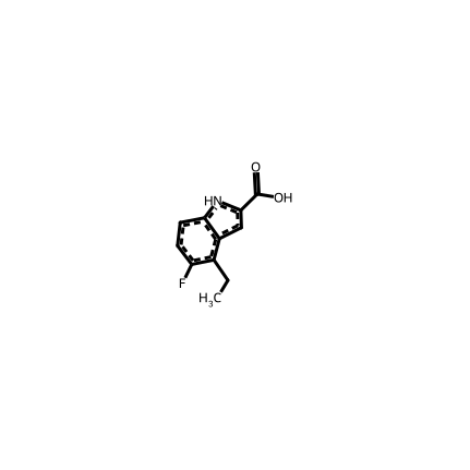 CCc1c(F)ccc2[nH]c(C(=O)O)cc12